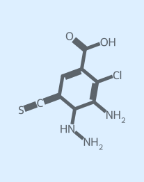 NNC1C(=C=S)C=C(C(=O)O)C(Cl)=C1N